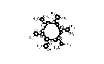 CCC1c2ccc(C(=O)c3cc(C)cc(C)c3)c(c2)C(CC)c2ccc(C(=O)c3cc(C)cc(C)c3)c(c2)C(CC)c2ccc(C(=O)c3cc(C)cc(C)c3)c(c2)C(CC)c2ccc(C(=O)c3cc(C)cc(C)c3)c(c2)C(CC)c2ccc(C(=O)c3cc(C)cc(C)c3)c(c2)C(CC)c2ccc(C(=O)c3cc(C)cc(C)c3)c1c2